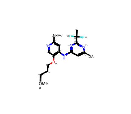 CCc1cc(Nc2cc(NC(C)=O)ncc2OCCCOC)nc(C(C)(F)F)n1